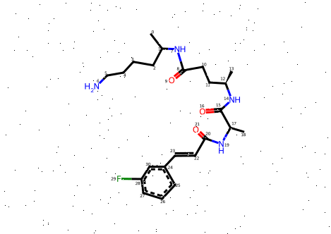 CC(CCCCN)NC(=O)CC[C@@H](C)NC(=O)C(C)NC(=O)/C=C/c1cccc(F)c1